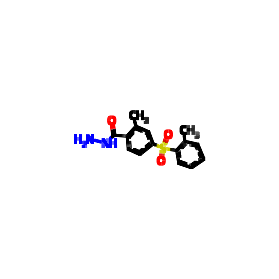 Cc1cc(S(=O)(=O)c2ccccc2C)ccc1C(=O)NN